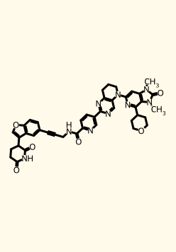 Cn1c(=O)n(C)c2c(C3CCOCC3)nc(N3CCCc4nc(-c5ccc(C(=O)NCC#Cc6ccc7occ(C8CCC(=O)NC8=O)c7c6)nc5)ncc43)cc21